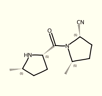 C[C@H]1CC[C@@H](C(=O)N2[C@H](C#N)CC[C@@H]2C)N1